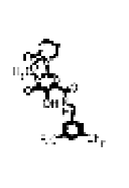 Cn1c(N2CCCCS2(=O)=O)nc(C(=O)NCc2cc(C(F)(F)F)cc(C(F)(F)F)c2)c(O)c1=O